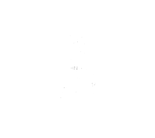 c1ccc2c(-c3cccc4oc5ccc(Nc6ccc(C7CC8CCC7C8)cc6)cc5c34)cccc2c1